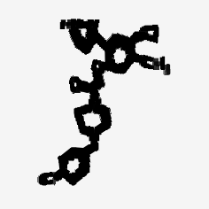 Cc1cc(OCC(=O)N2CCN(Cc3ccc(Cl)cc3)CC2)c(-c2cc[nH]n2)cc1Cl